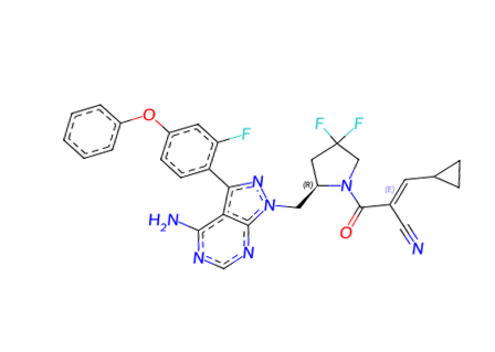 N#C/C(=C\C1CC1)C(=O)N1CC(F)(F)C[C@@H]1Cn1nc(-c2ccc(Oc3ccccc3)cc2F)c2c(N)ncnc21